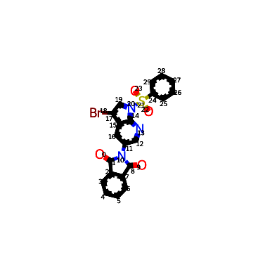 O=C1c2ccccc2C(=O)N1c1cnc2c(c1)c(Br)cn2S(=O)(=O)c1ccccc1